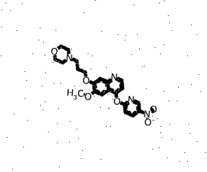 COc1cc2c(Oc3ccc([N+](=O)[O-])cn3)ccnc2cc1OCCCN1CCOCC1